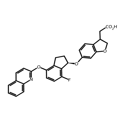 O=C(O)CC1COc2cc(O[C@@H]3CCc4c(Oc5ccc6ccccc6n5)ccc(F)c43)ccc21